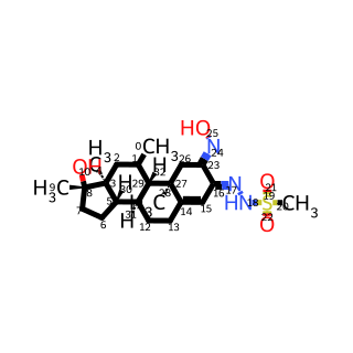 CC1C[C@@]2(C)[C@@H](CC[C@]2(C)O)[C@@H]2CCC3=CC(=NNS(C)(=O)=O)C(=NO)C[C@]3(C)[C@@H]12